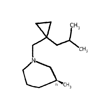 CC(C)CC1(CN2CCC[C@H](C)C2)CC1